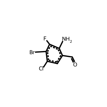 Nc1c(C=O)cc(Cl)c(Br)c1F